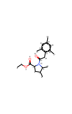 CCOC(=O)C1CC(C)C(C)N1C(=O)Cc1c(C)cc(C)cc1C